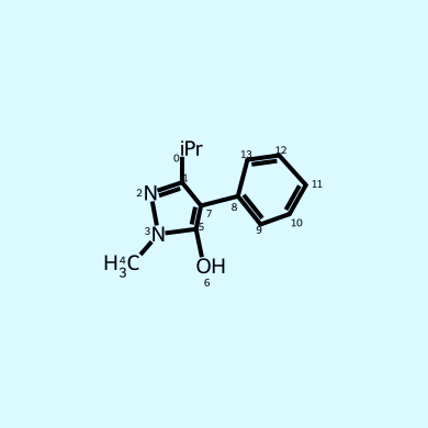 CC(C)c1nn(C)c(O)c1-c1ccccc1